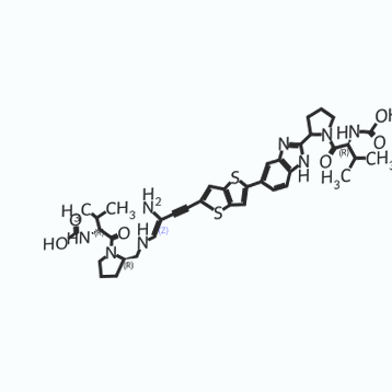 CC(C)[C@@H](NC(=O)O)C(=O)N1CCCC1c1nc2cc(-c3cc4sc(C#C/C(N)=C/NC[C@H]5CCCN5C(=O)[C@H](NC(=O)O)C(C)C)cc4s3)ccc2[nH]1